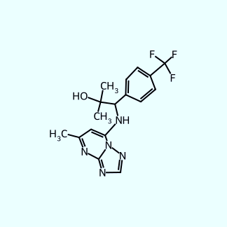 Cc1cc(NC(c2ccc(C(F)(F)F)cc2)C(C)(C)O)n2ncnc2n1